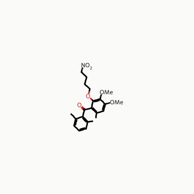 COc1cc(C)c(C(=O)c2c(C)cccc2C)c(OCCCC[N+](=O)[O-])c1OC